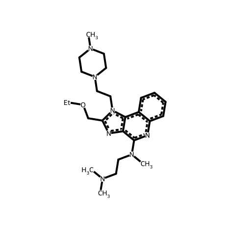 CCOCc1nc2c(N(C)CCN(C)C)nc3ccccc3c2n1CCN1CCN(C)CC1